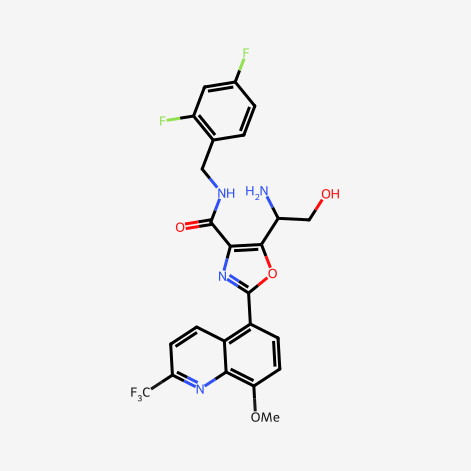 COc1ccc(-c2nc(C(=O)NCc3ccc(F)cc3F)c(C(N)CO)o2)c2ccc(C(F)(F)F)nc12